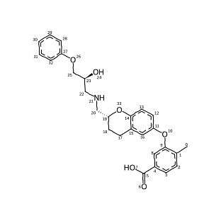 Cc1ccc(C(=O)O)cc1Oc1ccc2c(c1)CC[C@H](CNC[C@H](O)COc1ccccc1)O2